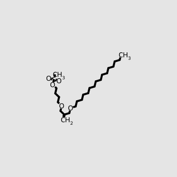 C=C(COCCCCCCCCCCCCCCCC)COCCCCOS(C)(=O)=O